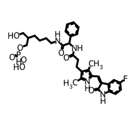 Cc1[nH]c(/C=C2\C(=O)Nc3ccc(F)cc32)c(C)c1CCC(=O)NC(C(=O)NCCCCC(CO)CO[PH](=O)OO)c1ccccc1